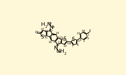 Cc1ccc(-c2ccc(-c3cc4/c(=N\N)c5cc6c(cc5c4s3)/c(=N/N)c3cc(C)sc36)s2)cc1